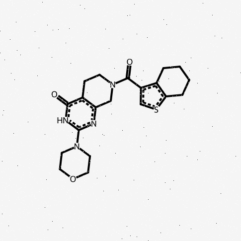 O=C(c1csc2c1CCCC2)N1CCc2c(nc(N3CCOCC3)[nH]c2=O)C1